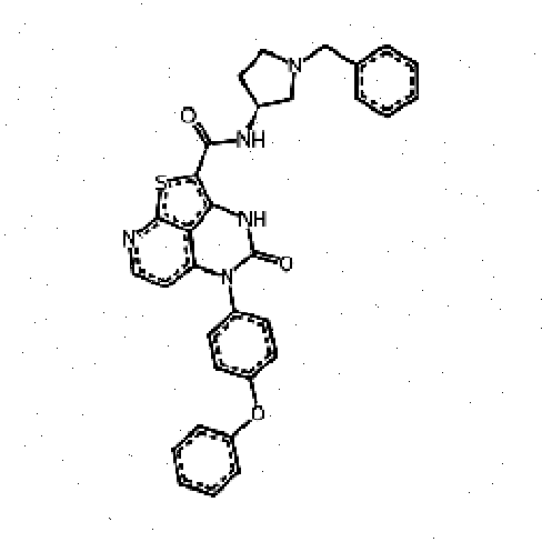 O=C(N[C@H]1CCN(Cc2ccccc2)C1)c1sc2nccc3c2c1NC(=O)N3c1ccc(Oc2ccccc2)cc1